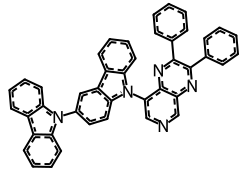 c1ccc(-c2nc3cncc(-n4c5ccccc5c5cc(-n6c7ccccc7c7ccccc76)ccc54)c3nc2-c2ccccc2)cc1